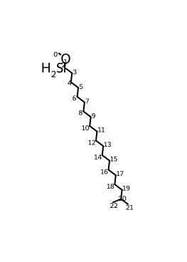 CO[SiH2]CCCCCCCCCCCCCCCCCC(C)C